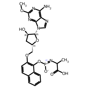 COc1nc(N)c2ncn([C@@H]3O[C@H](COc4ccc5ccccc5c4O/[P+]([O-])=N/C(C)C(=O)O)C[C@H]3O)c2n1